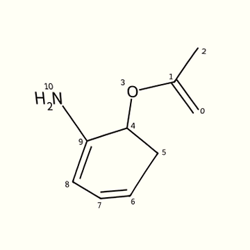 C=C(C)OC1CC=CC=C1N